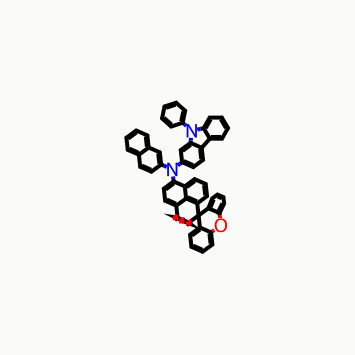 c1ccc(-n2c3ccccc3c3ccc(N(c4ccc5ccccc5c4)c4ccc5c6c(cccc46)C4(c6ccccc6Oc6ccccc64)c4ccccc4-5)cc32)cc1